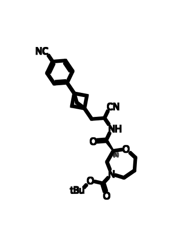 CC(C)(C)OC(=O)N1CCCO[C@H](C(=O)NC(C#N)CC23CC(c4ccc(C#N)cc4)(C2)C3)C1